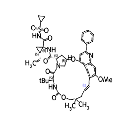 C=C[C@@H]1C[C@]1(NC(=O)[C@@H]1C[C@@H]2CN1C(=O)[C@H](C(C)(C)C)NC(=O)OCC(C)(C)C/C=C/c1cc3c(cc(-c4ccccc4)nc3cc1OC)O2)C(=O)NS(=O)(=O)C1CC1